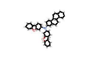 c1ccc2c(c1)ccc1c3ccc(N(c4ccc5c(c4)oc4ccccc45)c4ccc5c(c4)oc4ccccc45)cc3ccc21